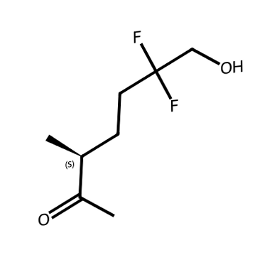 CC(=O)[C@@H](C)CCC(F)(F)CO